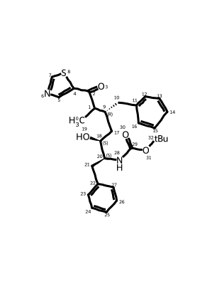 CC(C(=O)c1cncs1)[C@H](Cc1ccccc1)C[C@H](O)[C@H](Cc1ccccc1)NC(=O)OC(C)(C)C